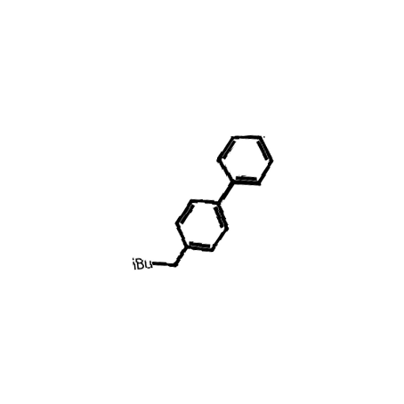 CCC(C)Cc1ccc(-c2cc[c]cc2)cc1